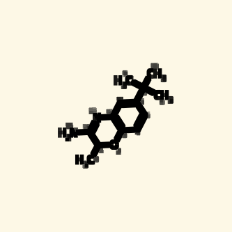 CC1Oc2ccc(C(C)(C)C)cc2N=C1N